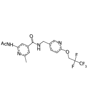 CC(=O)Nc1cc(C(=O)NCc2ccc(OCC(F)(F)C(F)(F)F)nc2)cc(C)n1